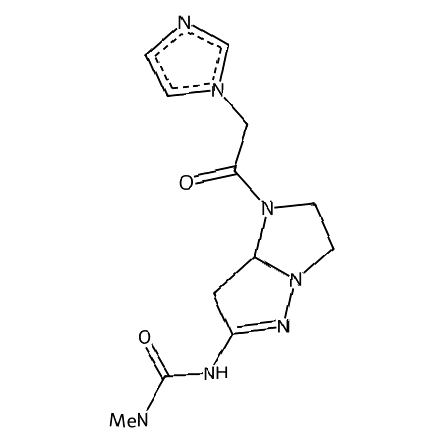 CNC(=O)NC1=NN2CCN(C(=O)Cn3ccnc3)C2C1